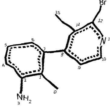 Cc1c(N)cccc1-c1ccnc(Br)c1C